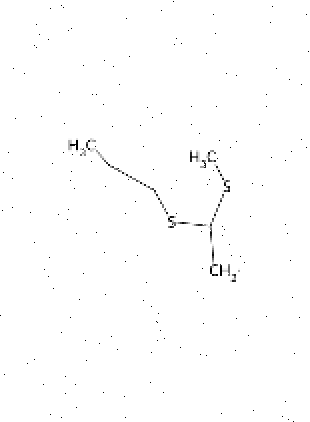 [CH2]C(SC)SCCC